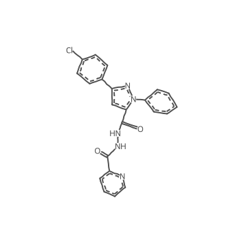 O=C(NNC(=O)c1cc(-c2ccc(Cl)cc2)nn1-c1ccccc1)c1ccccn1